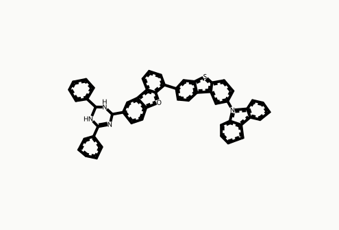 c1ccc(C2=NC(c3ccc4oc5c(-c6ccc7c(c6)sc6ccc(-n8c9ccccc9c9ccccc98)cc67)cccc5c4c3)NC(c3ccccc3)N2)cc1